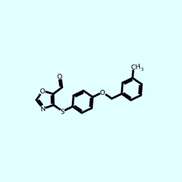 Cc1cccc(COc2ccc(Sc3ncoc3C=O)cc2)c1